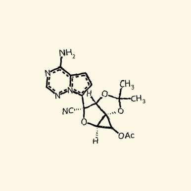 CC(=O)OC1[C@H]2O[C@@](C#N)(c3ccc4c(N)ncnn34)[C@@H]3OC(C)(C)O[C@]123